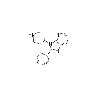 c1ccc(-c2nc3cccnc3n2C2CCNCC2)cc1